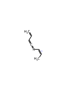 C=CC=C=N/C=C\C